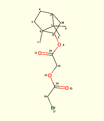 CC1(C)C2CCC1(C)C(OC(=O)COC(=O)CBr)C2